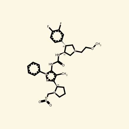 COCCN1C[C@@H](NC(=O)Nc2c(C)c([C@H]3CCCN3C[SH](=O)=O)nn2-c2ccccc2)[C@H](c2ccc(F)c(F)c2)C1